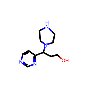 OCCC(c1ccncn1)N1CCNCC1